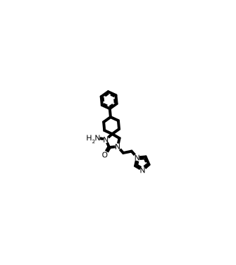 NN1C(=O)N(CCn2ccnc2)CC12CCC(c1ccccc1)CC2